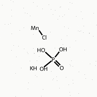 O=P(O)(O)O.[Cl][Mn].[KH]